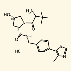 Cc1ncsc1-c1ccc(CNC(=O)[C@@H]2C[C@H](O)CN2C(=O)C(N)C(C)(C)C)cc1.Cl